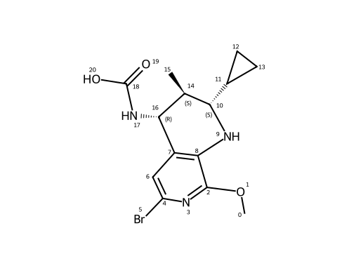 COc1nc(Br)cc2c1N[C@@H](C1CC1)[C@H](C)[C@H]2NC(=O)O